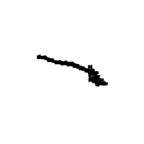 COCCOCCOCCOCCOCCOCCOCCOCCOCCOCCOCCOCCOCCOCCNS(=O)(=O)c1cc(F)c(CSc2ncc(C(C)(C)c3ccc(Cl)c(OC)c3)n2-c2ccc(F)cc2)c(Cl)c1